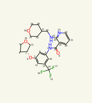 O=C(Nc1cc(O[C@@H]2CCOC2)cc(C(F)(F)F)c1)c1cccnc1NCC1CCOCC1